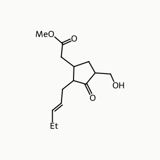 CC/C=C/CC1C(=O)C(CO)CC1CC(=O)OC